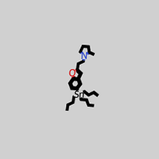 CCC[CH2][Sn]([CH2]CCC)([CH2]CCC)[c]1ccc2oc(CCN3CCCC3C)cc2c1